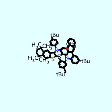 Cc1cc2c3c(c1)N(c1ccc(C(C)(C)C)cc1)C1c4cc5c(cc4SC1B3c1ccc(CC(C)(C)C)cc1N2c1ccc(C(C)(C)C)cc1-c1ccc2ccccc2c1)C(C)(C)CCC5(C)C